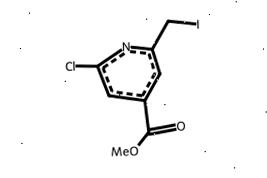 COC(=O)c1cc(Cl)nc(CI)c1